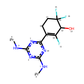 CC(C)Nc1nc(NC(C)C)nc(C2=C(F)C(O)C(F)(F)CC2)n1